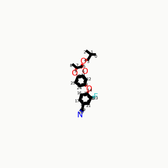 CC(C)COC(=O)C(C)Oc1ccc(Oc2ccc(C#N)cc2F)cc1